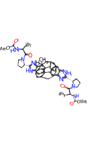 COC(=O)NC(C(=O)N1CCC[C@H]1c1nc2cc(-c3cc4ccc3CCc3ccc(c(-c5ccc6[nH]c([C@@H]7CCCN7C(=O)C(NC(=O)OC)C(C)C)nc6c5)c3)C[C@H]4C)ccc2[nH]1)C(C)C